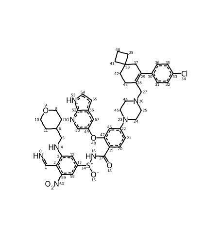 N=Cc1c(NCC2CCOCC2)cc([S+]([O-])NC(=O)c2ccc(N3CCN(CC4=C(c5ccc(Cl)cc5)CC5(CCC5)CC4)CC3)cc2Oc2cnc3[nH]ccc3c2)cc1[N+](=O)[O-]